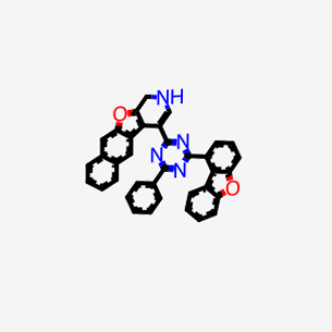 C1=C(c2nc(-c3ccccc3)nc(-c3cccc4oc5ccccc5c34)n2)c2c(oc3cc4ccccc4cc23)CN1